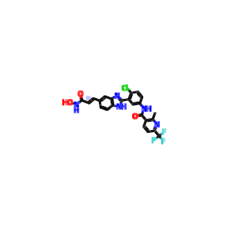 Cc1nc(C(F)(F)F)ccc1C(=O)Nc1ccc(Cl)c(-c2nc3cc(/C=C/C(=O)NO)ccc3[nH]2)c1